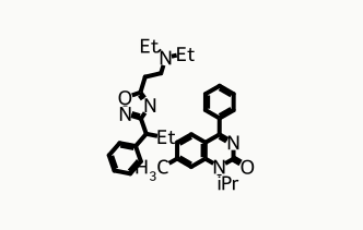 CCC(c1ccccc1)c1noc(CCN(CC)CC)n1.Cc1ccc2c(-c3ccccc3)nc(=O)n(C(C)C)c2c1